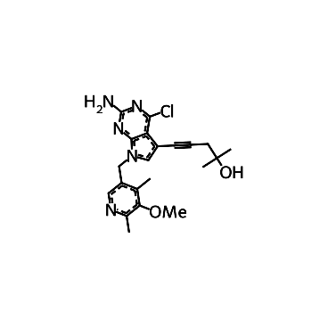 COc1c(C)ncc(Cn2cc(C#CCC(C)(C)O)c3c(Cl)nc(N)nc32)c1C